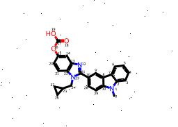 Cn1c2ccccc2c2cc(-c3nc4cc(OC(=O)O)ccc4n3CC3CC3)ccc21